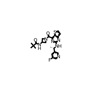 C[C@H](Nc1nc(C(=O)N2CC(NC(=O)C(C)(C)C)C2)c2sccc2n1)c1cncc(F)c1